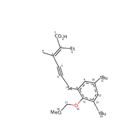 CCC(C(=O)O)=C(C)C#C[Se]c1cc(C(C)(C)C)cc(C(C)(C)C)c1OCOC